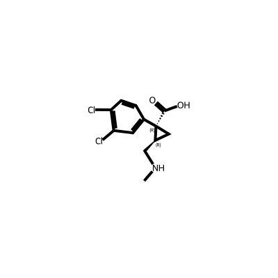 CNC[C@@H]1C[C@]1(C(=O)O)c1ccc(Cl)c(Cl)c1